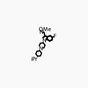 CON=Cc1cn(C2CCN([C@H]3CC[C@@H](C(C)C)CC3)CC2)c2ccc(F)cc12